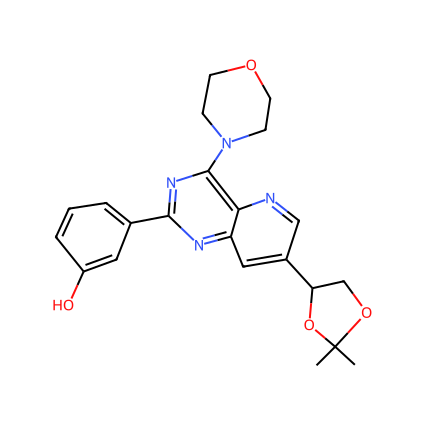 CC1(C)OCC(c2cnc3c(N4CCOCC4)nc(-c4cccc(O)c4)nc3c2)O1